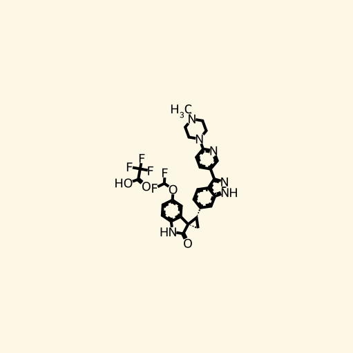 CN1CCN(c2ccc(-c3n[nH]c4cc([C@@H]5C[C@@]56C(=O)Nc5ccc(OC(F)F)cc56)ccc34)cn2)CC1.O=C(O)C(F)(F)F